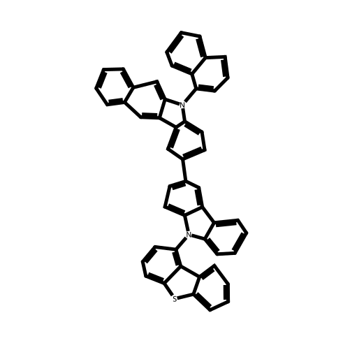 c1ccc2cc3c(cc2c1)c1cc(-c2ccc4c(c2)c2ccccc2n4-c2cccc4sc5ccccc5c24)ccc1n3-c1cccc2ccccc12